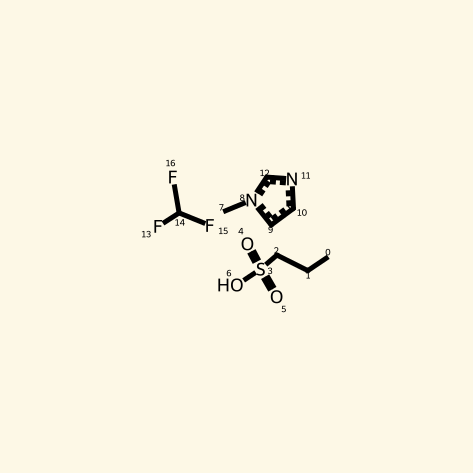 CCCS(=O)(=O)O.Cn1ccnc1.FC(F)F